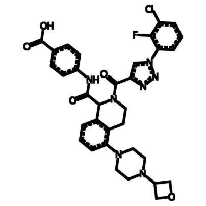 O=C(O)c1ccc(NC(=O)C2c3cccc(N4CCN(C5COC5)CC4)c3CCN2C(=O)c2cn(-c3cccc(Cl)c3F)nn2)cc1